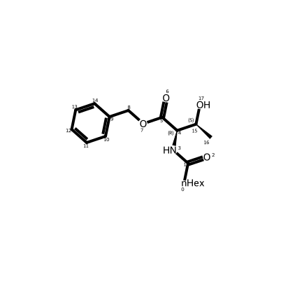 CCCCCCC(=O)N[C@@H](C(=O)OCc1ccccc1)[C@H](C)O